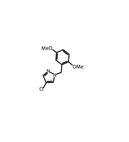 COc1ccc(OC)c(Cn2cc(Cl)cn2)c1